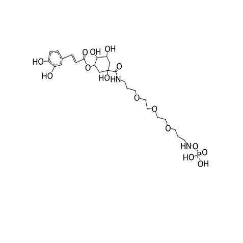 O=C(/C=C/c1ccc(O)c(O)c1)OC1CC(O)(C(=O)NCCCOCCOCCOCCCNOP(=O)(O)O)CC(O)C1O